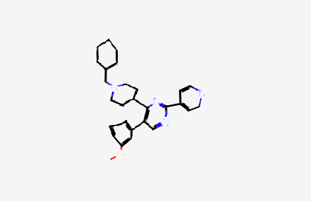 COc1cccc(-c2cnc(C3=CCNC=C3)nc2C2CCN(CC3CCCCC3)CC2)c1